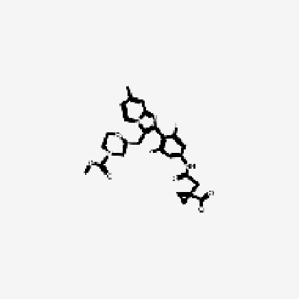 COC(=O)N1CCO[C@@H](Cc2c(-c3c(F)cc(NC(=O)CC4(C(=O)O)CC4)cc3F)nc3cc(C)ccn23)C1